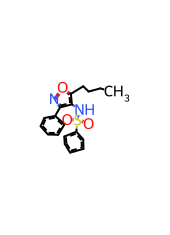 CCCCc1onc(-c2ccccc2)c1NS(=O)(=O)c1ccccc1